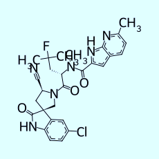 Cc1ccc2cc(C(=O)N(C)[C@@H](CC(C)(C)F)C(=O)N3C[C@]4(C[C@H]3C#N)C(=O)Nc3ccc(Cl)cc34)[nH]c2n1